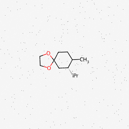 CC(C)[C@@H]1CC2(CCC1C)OCCO2